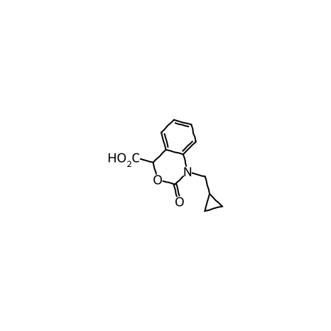 O=C(O)C1OC(=O)N(CC2CC2)c2ccccc21